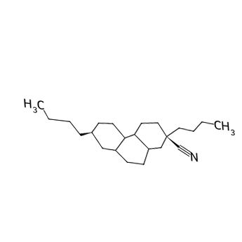 CCCC[C@H]1CCC2C(CCC3C[C@@](C#N)(CCCC)CCC32)C1